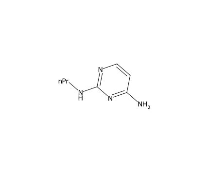 CCCNc1nccc(N)n1